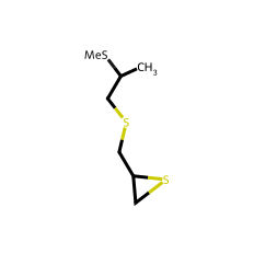 CSC(C)CSCC1CS1